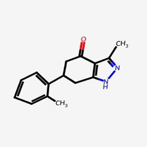 Cc1ccccc1C1CC(=O)c2c(C)n[nH]c2C1